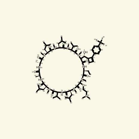 CC[C@@H]1NC(=O)C([C@H](O)C2CC=C2c2ccc(C(F)(F)F)cc2)N(C)C(=O)C(C(C)C)N(C)C(=O)[C@H](CC(C)C)N(C)C(=O)[C@H](CC(C)C)N(C)C(=O)[C@@H](C)NC(=O)[C@H](C)NC(=O)[C@H](CC(C)C)N(C)C(=O)C(C(C)C)NC(=O)[C@H](CC(C)C)N(C)C(=O)C(OCCN(C)C)N(C)C1=O